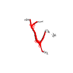 CCCCCCCC/C=C\CCCCCCCC(=O)OCC(COC(=O)CCCCCCCC=CCCCCCCCC(=O)OC(COC(=O)CCCCCCCCCCCCCCCCC)COC(=O)CCCCCCCCCCCCCCCCC)OC(=O)CCCCCCCC=CCCCCCCCC(=O)O